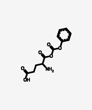 NC(CCC(=O)O)C(=O)OC(=O)Oc1ccccc1